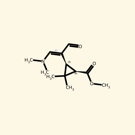 COC(=O)[C@@H]1[C@H](/C(C=O)=C\N(C)C)C1(C)C